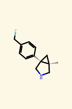 C[C@]12CNC[C@@]1(c1ccc(CF)cc1)C2